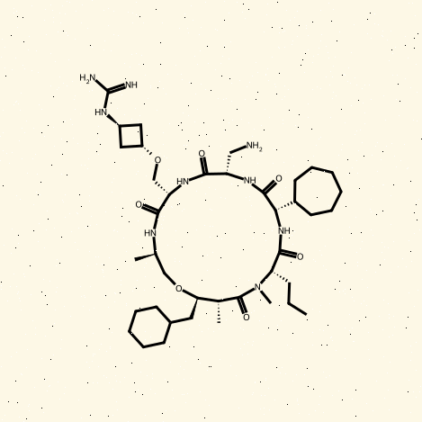 CCC[C@H]1C(=O)N[C@@H](C2CCCCCC2)C(=O)N[C@@H](CN)C(=O)N[C@@H](CO[C@H]2C[C@H](NC(=N)N)C2)C(=O)N[C@H](C)CO[C@H](CC2CCCCC2)[C@@H](C)C(=O)N1C